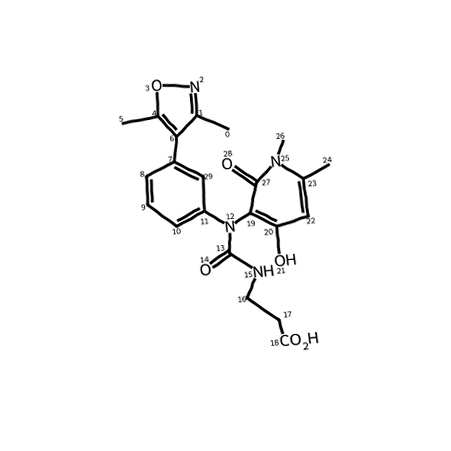 Cc1noc(C)c1-c1cccc(N(C(=O)NCCC(=O)O)c2c(O)cc(C)n(C)c2=O)c1